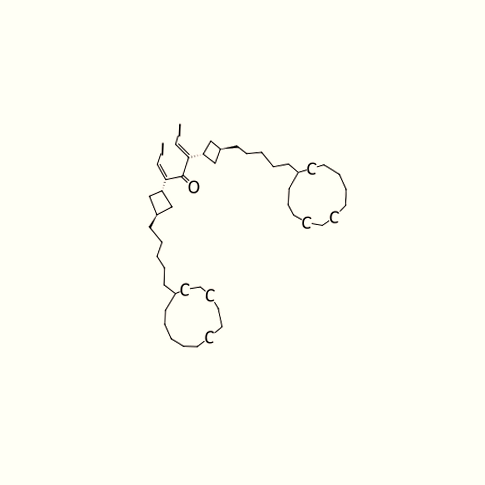 O=C(C(=CI)[C@H]1C[C@H](CCCCCC2CCCCCCCCCCC2)C1)C(=CI)[C@H]1C[C@H](CCCCCC2CCCCCCCCCCC2)C1